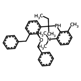 CCC(C)(Pc1c(C)cccc1N(C)C)c1cccc(Cc2ccccc2)c1OCc1ccccc1